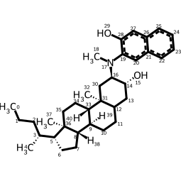 CCC[C@@H](C)[C@H]1CC[C@H]2[C@@H]3CCC4C[C@@H](O)[C@H](N(C)c5cc6ccccc6cc5O)C[C@]4(C)[C@H]3CC[C@]12C